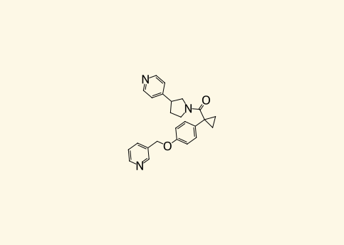 O=C(N1CCC(c2ccncc2)C1)C1(c2ccc(OCc3cccnc3)cc2)CC1